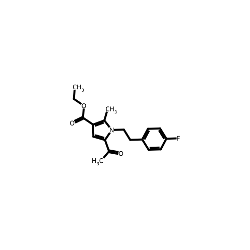 CCOC(=O)c1cc(C(C)=O)n(CCc2ccc(F)cc2)c1C